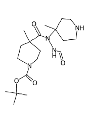 CC(C)(C)OC(=O)N1CCC(C)(C(=O)N(NC=O)C2(C)CCNCC2)CC1